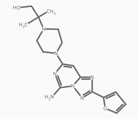 CC(C)(CO)N1CCN(c2cc3nc(-c4ccco4)nn3c(N)n2)CC1